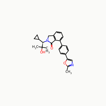 Cc1ncc(-c2ccc(-c3cccc4c3C(=O)N([C@H](C3CC3)C(C)(C)O)C4)cc2)o1